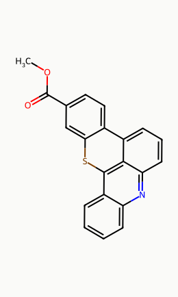 COC(=O)c1ccc2c(c1)Sc1c3ccccc3nc3cccc-2c13